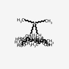 CCCCCCCC[N+](CCCCCCCC)(CCCCCCCC)CCCCCCCC.CC[C@@]1([C@@H]2O[C@@H]([C@H]3O[C@@](O)(CO)[C@H](C)C[C@@H]3C)C[C@@H]2C)CC[C@H]([C@]2(C)CC[C@]3(C[C@H](O)[C@@H](C)[C@@H]([C@@H](C)[C@@H](OC)[C@H](C)C(=O)O)O3)O2)O1